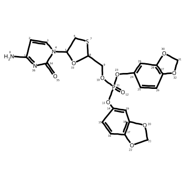 Nc1ccn(C2CSC(COP(=O)(Oc3ccc4c(c3)OCO4)Oc3ccc4c(c3)OCO4)O2)c(=O)n1